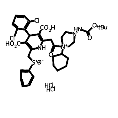 CC(C)(C)OC(=O)NN1CC[N+](C(=O)CC2=C(C(=O)O)C(c3c(Cl)cccc3Cl)C(C(=O)O)=C(C[S@+]([O-])c3ccccc3)N2)(C2CCCCC2)CC1.Cl.Cl